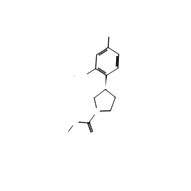 COc1cc(Br)ccc1[C@H]1CCN(C(=O)OC(C)(C)C)C1